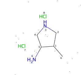 CC1CNCC1N.Cl.Cl